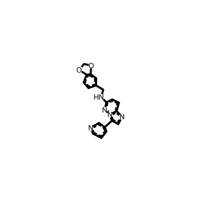 c1cncc(-c2cnc3ccc(NCc4ccc5c(c4)OCO5)nn23)c1